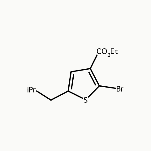 CCOC(=O)c1cc(CC(C)C)sc1Br